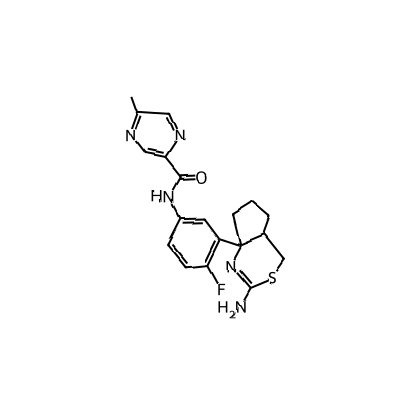 Cc1cnc(C(=O)Nc2ccc(F)c(C34CCCC3CSC(N)=N4)c2)cn1